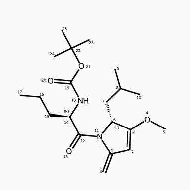 C=C1C=C(OC)[C@@H](CC(C)C)N1C(=O)[C@@H](CCC)NC(=O)OC(C)(C)C